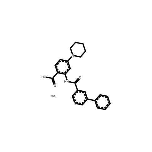 O=C(Nc1cc(N2CCCCC2)ccc1C(=O)O)c1cncc(-c2ccccc2)c1.[NaH]